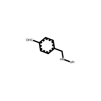 [CH2]CCNCc1ccc(C=O)cc1